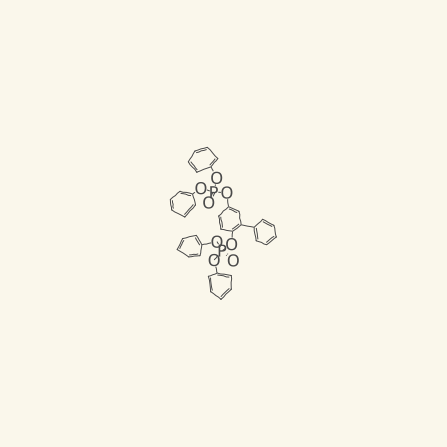 O=P(Oc1ccccc1)(Oc1ccccc1)Oc1ccc(OP(=O)(Oc2ccccc2)Oc2ccccc2)c(-c2ccccc2)c1